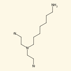 [N]CCN(CC[N])CCCCCCCN